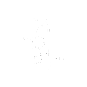 CC(C)(C)[S+]([O-])NC1(c2ccc(O[Si](C)(C)C(C)(C)C)c(Cl)c2)COC1